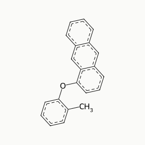 Cc1ccccc1Oc1cccc2cc3ccccc3cc12